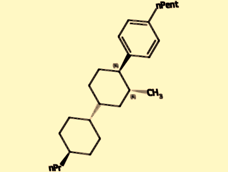 CCCCCc1ccc([C@@H]2CCC([C@H]3CC[C@H](CCC)CC3)C[C@H]2C)cc1